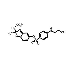 CC1(NC(=O)O)N=c2ccc(OS(=O)(=O)c3ccc(NCCO)cc3)cc2=N1